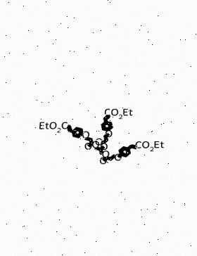 CCOC(=O)C=Cc1ccc(OCCC(=O)OCC(COC(=O)CCOc2ccc(C=CC(=O)OCC)cc2)OC(=O)CCOc2ccc(C=CC(=O)OCC)cc2)cc1